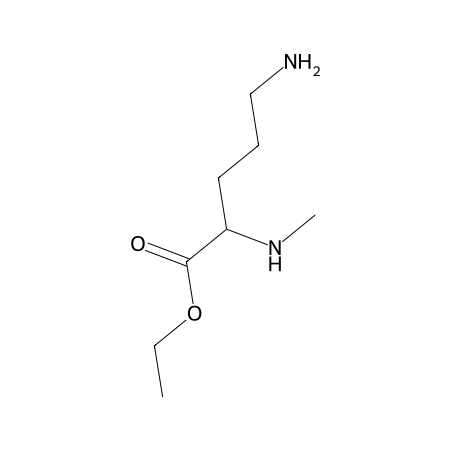 CCOC(=O)C(CCCN)NC